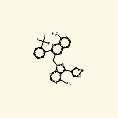 Cc1cccc2cc(Cn3nc(-c4cn[nH]c4)c4c(N)ncnc43)c(-c3ccccc3C(F)(F)F)nc12